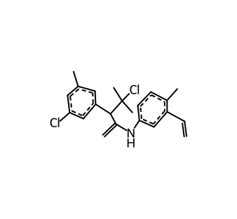 C=Cc1cc(NC(=C)C(c2cc(C)cc(Cl)c2)C(C)(C)Cl)ccc1C